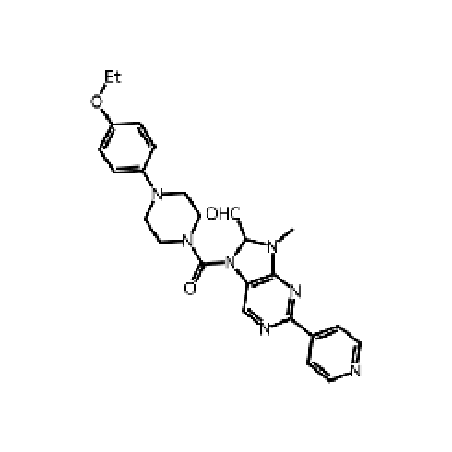 CCOc1ccc(N2CCN(C(=O)N3c4cnc(-c5ccncc5)nc4N(C)C3C=O)CC2)cc1